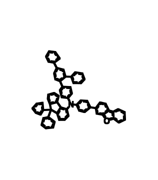 c1ccc(-c2ccc(-c3ccc(N(c4ccc(-c5ccc6c(c5)oc5ccccc56)cc4)c4cccc5c4-c4ccccc4C5(c4ccccc4)c4ccccc4)cc3)c(-c3ccccc3)c2)cc1